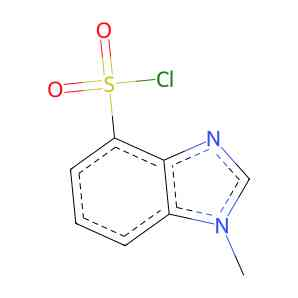 Cn1cnc2c(S(=O)(=O)Cl)cccc21